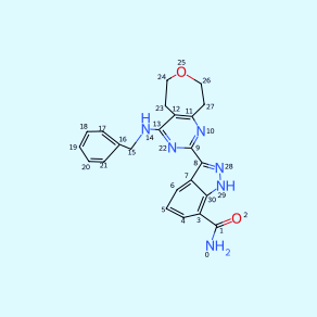 NC(=O)c1cccc2c(-c3nc4c(c(NCc5ccccc5)n3)CCOCC4)n[nH]c12